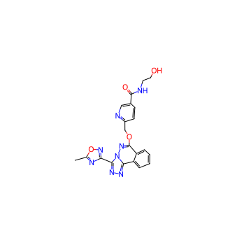 Cc1nc(-c2nnc3c4ccccc4c(OCc4ccc(C(=O)NCCO)cn4)nn23)no1